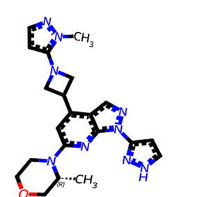 C[C@@H]1COCCN1c1cc(C2CN(c3ccnn3C)C2)c2cnn(-c3cc[nH]n3)c2n1